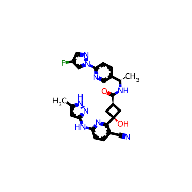 Cc1cc(Nc2ccc(C#N)c([C@]3(O)C[C@@H](C(=O)N[C@@H](C)c4ccc(-n5cc(F)cn5)nc4)C3)n2)n[nH]1